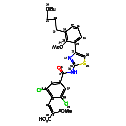 CO/C(=C\c1c(Cl)cc(C(=O)Nc2nc(-c3cccc(CCCOCC(C)C)c3OC)cs2)cc1Cl)C(=O)O